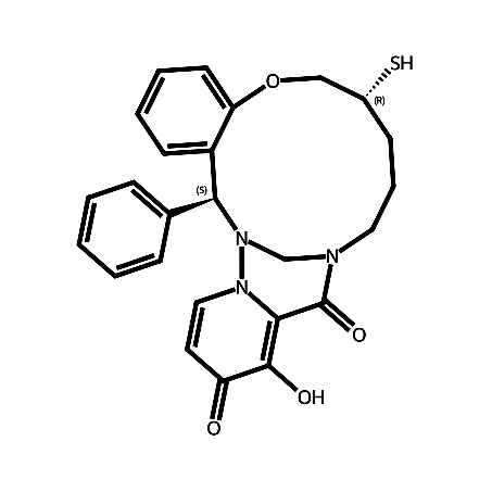 O=C1c2c(O)c(=O)ccn2N2CN1CCC[C@@H](S)COc1ccccc1[C@@H]2c1ccccc1